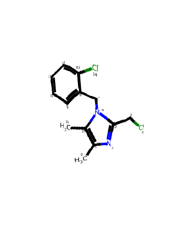 Cc1nc(CCl)n(Cc2ccccc2Cl)c1C